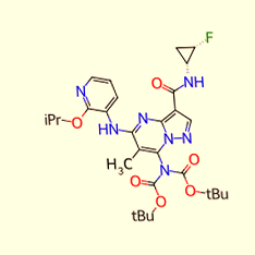 Cc1c(Nc2cccnc2OC(C)C)nc2c(C(=O)N[C@@H]3C[C@@H]3F)cnn2c1N(C(=O)OC(C)(C)C)C(=O)OC(C)(C)C